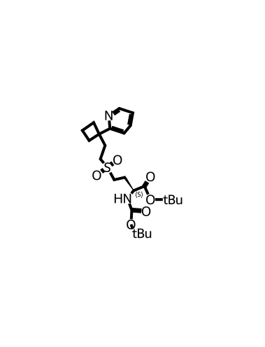 CC(C)(C)OC(=O)N[C@@H](CCS(=O)(=O)CCC1(c2ccccn2)CCC1)C(=O)OC(C)(C)C